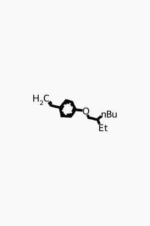 C=Cc1ccc(OCC(CC)CCCC)cc1